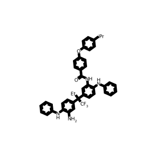 CCC(c1ccc(Nc2ccccc2)c(N)c1)(c1ccc(Nc2ccccc2)c(NC(=O)c2ccc(Oc3ccc(C(C)C)cc3)cc2)c1)C(F)(F)F